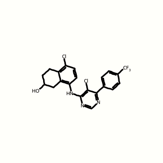 OC1CCc2c(Cl)ccc(Nc3ncnc(-c4ccc(C(F)(F)F)cc4)c3Cl)c2C1